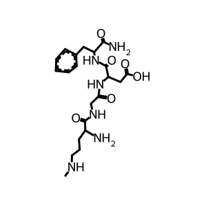 CNCCCC(N)C(=O)NCC(=O)NC(CC(=O)O)C(=O)NC(Cc1ccccc1)C(N)=O